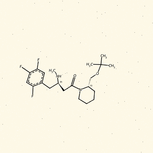 CN[C@@H](CC(=O)N1CCCC[C@H]1COC(C)(C)C)Cc1cc(F)c(F)cc1F